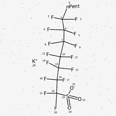 CCCCCC(F)(F)C(F)(F)C(F)(F)C(F)(F)C(F)(F)C(F)(F)C(F)(F)S(=O)(=O)[O-].[K+]